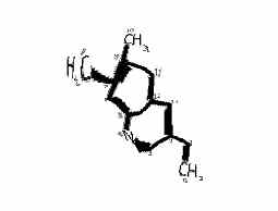 C=Cc1cnc2cc(C)c(C)cc2c1